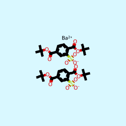 CC(C)(C)OC(=O)c1ccc(C(=O)OC(C)(C)C)c(S(=O)(=O)[O-])c1.CC(C)(C)OC(=O)c1ccc(C(=O)OC(C)(C)C)c(S(=O)(=O)[O-])c1.[Ba+2]